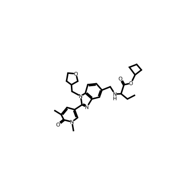 CCC(NCc1ccc2c(c1)nc(-c1cc(C)c(=O)n(C)c1)n2CC1CCOC1)C(=O)OC1CCC1